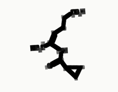 O=C(O)CC/C=C(\NC(=O)C1CC1)C(=O)O